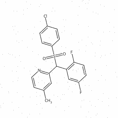 Cc1ccnc(C(c2cc(F)ccc2F)S(=O)(=O)c2ccc(Cl)cc2)c1